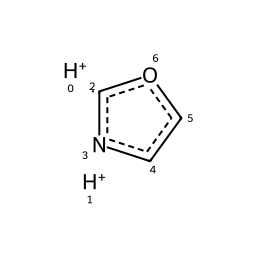 [H+].[H+].[c]1ncco1